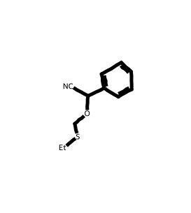 CCSCOC(C#N)c1ccccc1